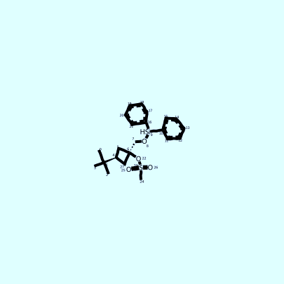 CC(C)(C)[C@H]1C[C@@](CO[SiH](c2ccccc2)c2ccccc2)(OS(C)(=O)=O)C1